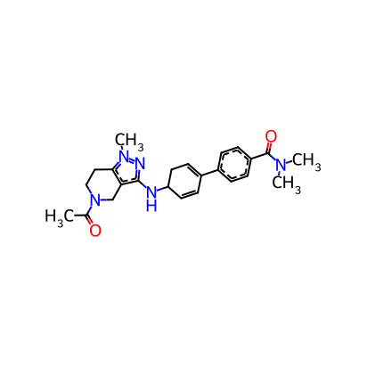 CC(=O)N1CCc2c(c(NC3C=CC(c4ccc(C(=O)N(C)C)cc4)=CC3)nn2C)C1